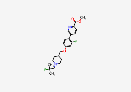 COC(=O)c1ccc(-c2ccc(OCC3CCN(CC(C)(C)F)CC3)cc2F)cn1